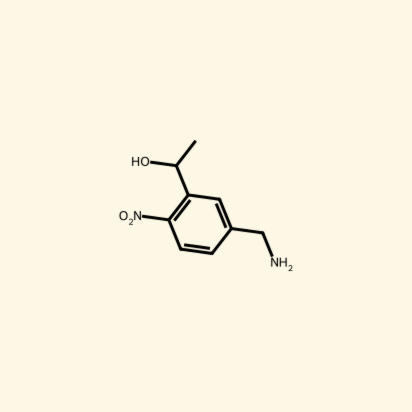 CC(O)c1cc(CN)ccc1[N+](=O)[O-]